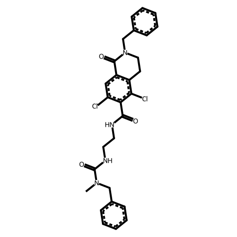 CN(Cc1ccccc1)C(=O)NCCNC(=O)c1c(Cl)cc2c(c1Cl)CCN(Cc1ccccc1)C2=O